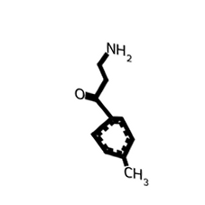 Cc1ccc(C(=O)CCN)cc1